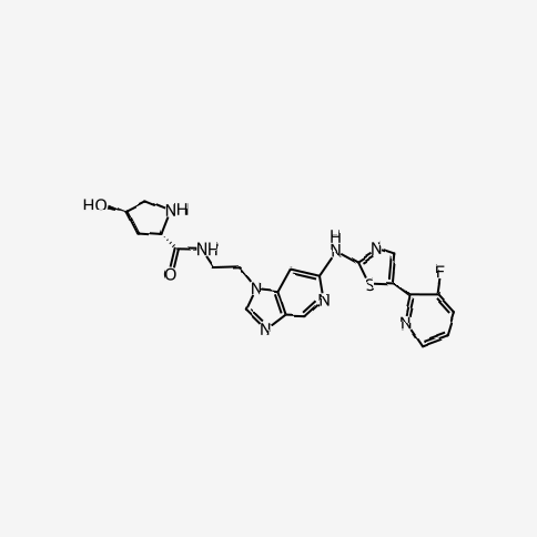 O=C(NCCn1cnc2cnc(Nc3ncc(-c4ncccc4F)s3)cc21)[C@@H]1C[C@@H](O)CN1